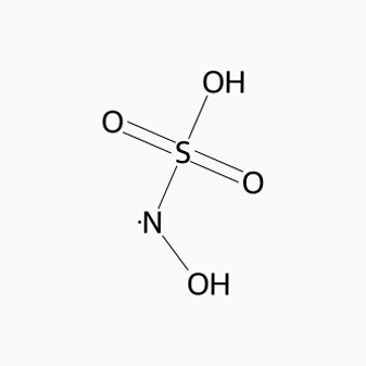 O=S(=O)(O)[N]O